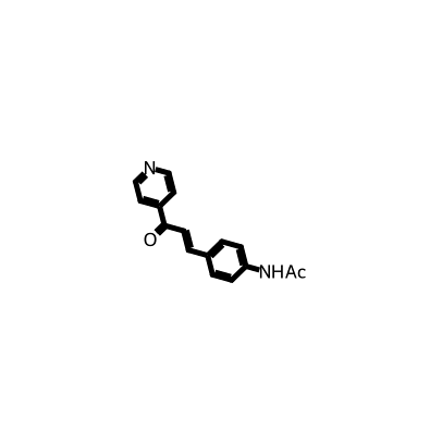 CC(=O)Nc1ccc(/C=C/C(=O)c2ccncc2)cc1